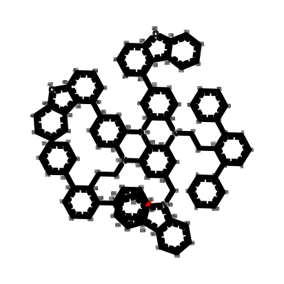 c1ccc(-c2cccc(-c3ccccc3)c2CCN2c3ccc(-c4cccc5oc6ccccc6c45)cc3B3c4cc(-c5cccc6oc7ccccc7c56)ccc4N(CCc4c(-c5ccccc5)cccc4-c4ccccc4)c4cc(Cn5c6ccccc6c6ccccc65)cc2c43)cc1